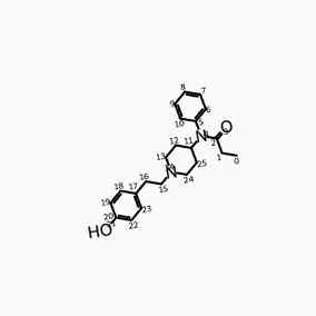 CCC(=O)N(c1ccccc1)C1CCN(CCc2ccc(O)cc2)CC1